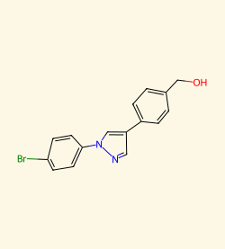 OCc1ccc(-c2cnn(-c3ccc(Br)cc3)c2)cc1